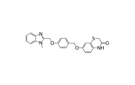 Cn1c(COc2ccc(COc3ccc4c(c3)SCC(=O)N4)cc2)nc2ccccc21